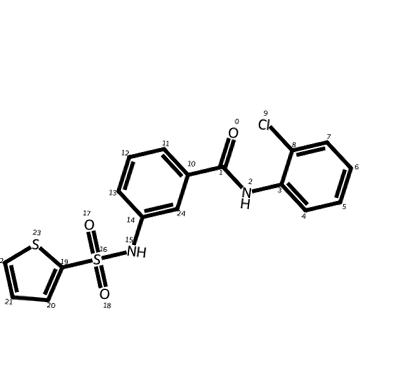 O=C(Nc1ccccc1Cl)c1cccc(NS(=O)(=O)c2cccs2)c1